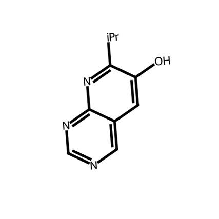 CC(C)c1nc2ncncc2cc1O